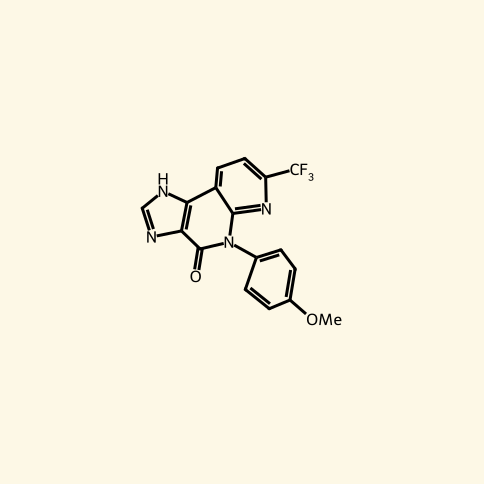 COc1ccc(-n2c(=O)c3nc[nH]c3c3ccc(C(F)(F)F)nc32)cc1